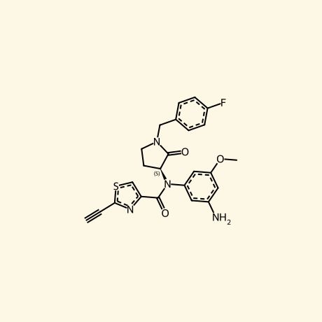 C#Cc1nc(C(=O)N(c2cc(N)cc(OC)c2)[C@H]2CCN(Cc3ccc(F)cc3)C2=O)cs1